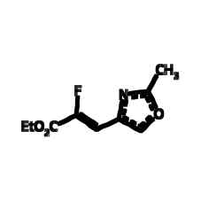 CCOC(=O)C(F)=Cc1coc(C)n1